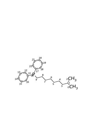 CC(C)CCCCCCCP(c1ccccc1)c1ccccc1